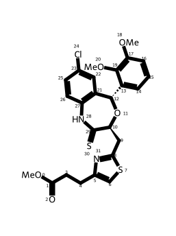 COC(=O)CCc1csc(C[C@@H]2O[C@@H](c3cccc(OC)c3OC)c3cc(Cl)ccc3NC2=S)n1